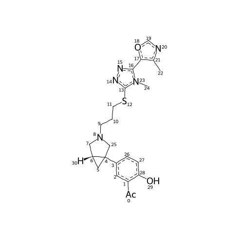 CC(=O)c1cc(C23C[C@@H]2CN(CCCSc2nnc(-c4ocnc4C)n2C)C3)ccc1O